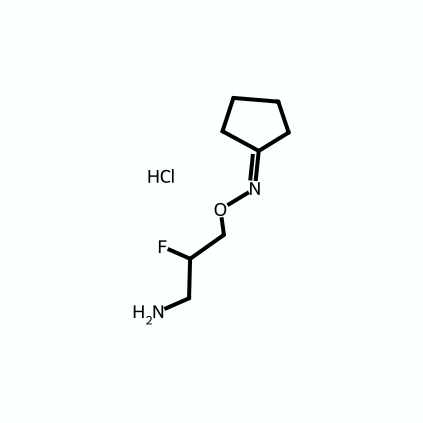 Cl.NCC(F)CON=C1CCCC1